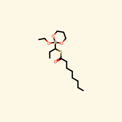 CCCCCCCC(=O)SC(CC)[Si]1(OCC)OCCCO1